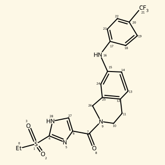 CCS(=O)(=O)c1nc(C(=O)N2CCc3ccc(Nc4ccc(C(F)(F)F)cc4)cc3C2)c[nH]1